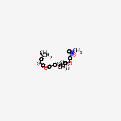 CCC(C)c1ccc(C(=O)c2ccc(Oc3ccc(-c4ccc(OC(C)C(C)(C)c5ccc(C(=O)c6ccc(-n7c(=O)n(C)c8ccccc87)cc6)cc5)cc4)cc3)cc2)cc1